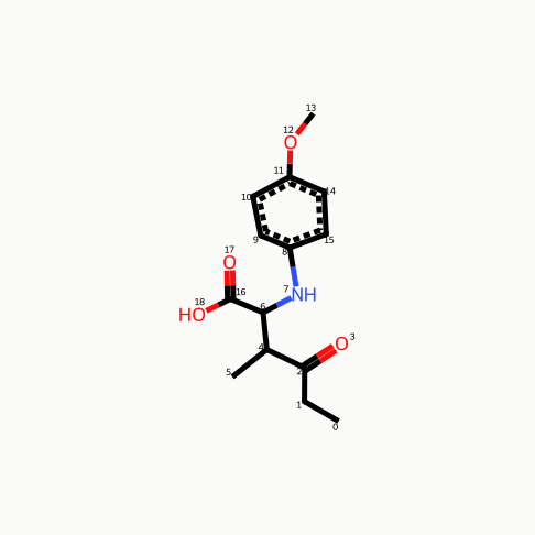 CCC(=O)C(C)C(Nc1ccc(OC)cc1)C(=O)O